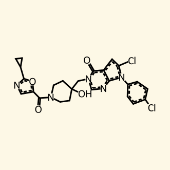 O=C(c1cnc(C2CC2)o1)N1CCC(O)(Cn2cnc3c(cc(Cl)n3-c3ccc(Cl)cc3)c2=O)CC1